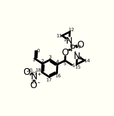 C=Cc1cc(C(C)OP(=O)(N2CC2)N2CC2)ccc1[N+](=O)[O-]